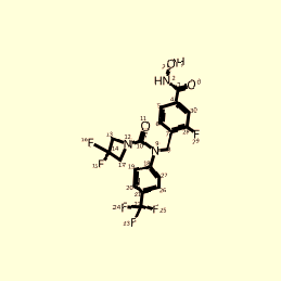 O=C(NO)c1ccc(CN(C(=O)N2CC(F)(F)C2)c2ccc(C(F)(F)F)cc2)c(F)c1